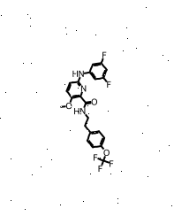 COc1ccc(Nc2cc(F)cc(F)c2)nc1C(=O)NCCc1ccc(OC(F)(F)F)cc1